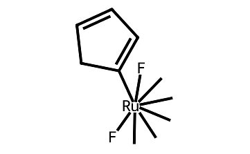 [CH3][Ru]([CH3])([CH3])([CH3])([CH3])([F])([F])[C]1=CC=CC1